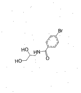 O=C(NCC(O)CO)c1ccc(Br)cc1